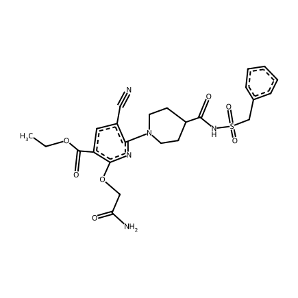 CCOC(=O)c1cc(C#N)c(N2CCC(C(=O)NS(=O)(=O)Cc3ccccc3)CC2)nc1OCC(N)=O